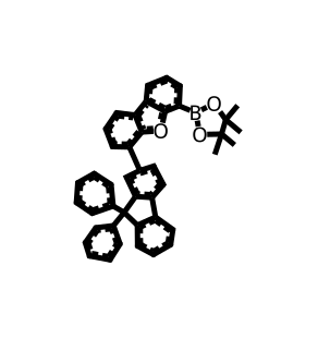 CC1(C)OB(c2cccc3c2oc2c(-c4ccc5c(c4)C(c4ccccc4)(c4ccccc4)c4ccccc4-5)cccc23)OC1(C)C